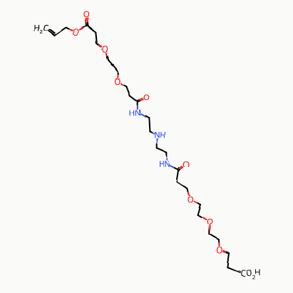 C=CCOC(=O)CCOCCOCCC(=O)NCCNCCNC(=O)CCOCCOCCOCCC(=O)O